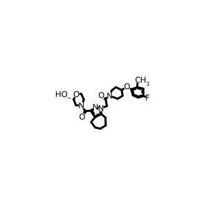 Cc1cc(F)ccc1OC1CCN(C(=O)Cn2nc(C(=O)N3CCO[C@@H](CO)C3)c3c2CCCCC3)CC1